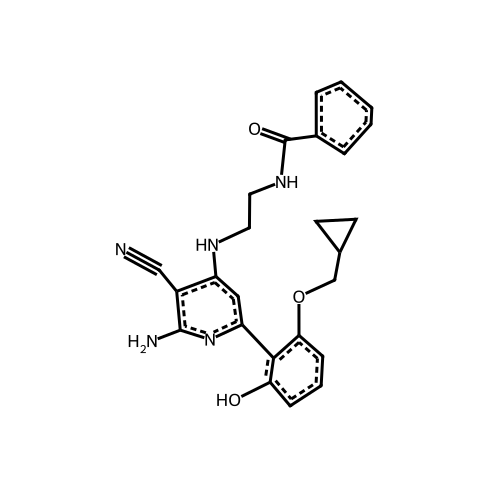 N#Cc1c(NCCNC(=O)c2ccccc2)cc(-c2c(O)cccc2OCC2CC2)nc1N